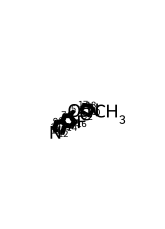 CN1CCC(Oc2cc3ccncc3cc2F)CC1